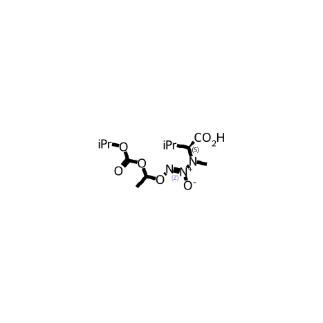 CC(C)OC(=O)OC(C)O/N=[N+](\[O-])N(C)[C@H](C(=O)O)C(C)C